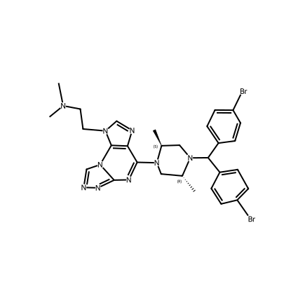 C[C@@H]1CN(c2nc3nncn3c3c2ncn3CCN(C)C)[C@@H](C)CN1C(c1ccc(Br)cc1)c1ccc(Br)cc1